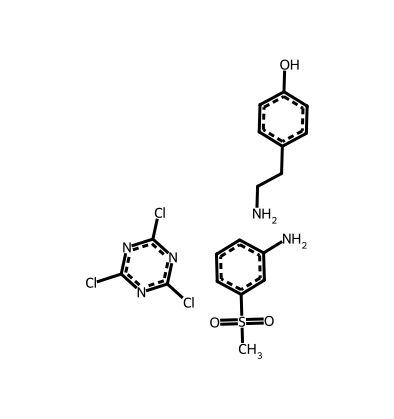 CS(=O)(=O)c1cccc(N)c1.Clc1nc(Cl)nc(Cl)n1.NCCc1ccc(O)cc1